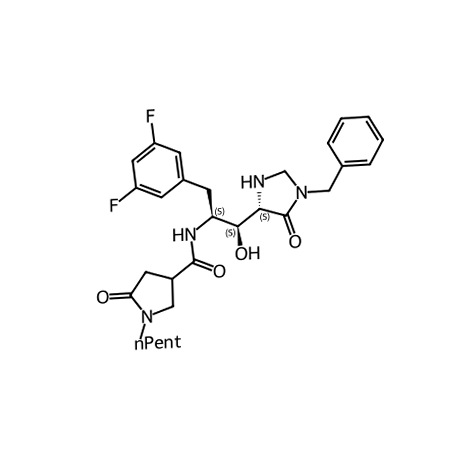 CCCCCN1CC(C(=O)N[C@@H](Cc2cc(F)cc(F)c2)[C@H](O)[C@@H]2NCN(Cc3ccccc3)C2=O)CC1=O